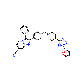 N#Cc1ccn2c(-c3ccccc3)c(-c3ccc(CN4CCC(c5nnc(-c6ccco6)[nH]5)CC4)cc3)nc2c1